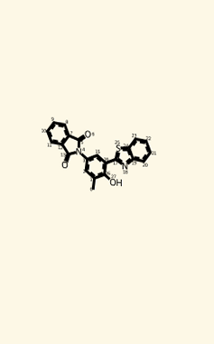 Cc1cc(N2C(=O)c3ccccc3C2=O)cc(-c2nc3ccccc3s2)c1O